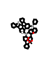 CC1(C)c2ccccc2-c2ccc(N(c3ccc4c(c3)C3(c5ccccc5-c5cc(N(c6ccccc6)c6ccccc6)ccc53)c3sc5ccccc5c3-4)c3ccccc3-c3ccccc3)cc21